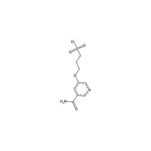 CCS(=O)(=O)CCCOc1cncc(C(N)=O)c1